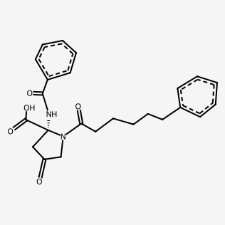 O=C1CN(C(=O)CCCCCc2ccccc2)[C@](NC(=O)c2ccccc2)(C(=O)O)C1